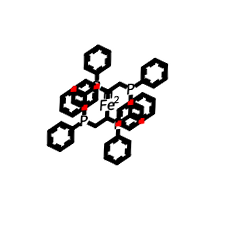 c1ccc(P(C[CH]([FeH2][CH](CP(c2ccccc2)c2ccccc2)P(c2ccccc2)c2ccccc2)P(c2ccccc2)c2ccccc2)c2ccccc2)cc1